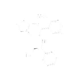 COc1ccccc1[C@@H](O)[C@@H](CN1CCCC1)N[C@H](CO)c1ccccc1